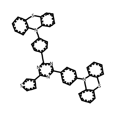 c1ccc2c(c1)Sc1ccccc1N2c1ccc(-c2nc(-c3ccc(N4c5ccccc5Sc5ccccc54)cc3)nc(-c3ccsc3)n2)cc1